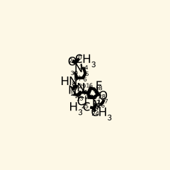 CC(=O)N1CCC[C@H](Nc2ncc(Cl)c(-c3cc(F)c4c(c3)N(C(C)C)CCO4)n2)C1